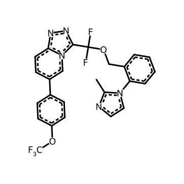 Cc1nccn1-c1ccccc1COC(F)(F)c1nnc2ccc(-c3ccc(OC(F)(F)F)cc3)cn12